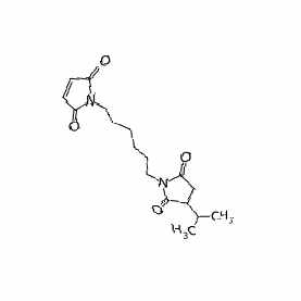 CC(C)C1CC(=O)N(CCCCCCN2C(=O)C=CC2=O)C1=O